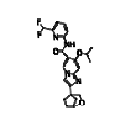 CC(C)Oc1cc2nc(C34CCC(C3)OC4)cn2cc1C(=O)Nc1cccc(C(F)F)n1